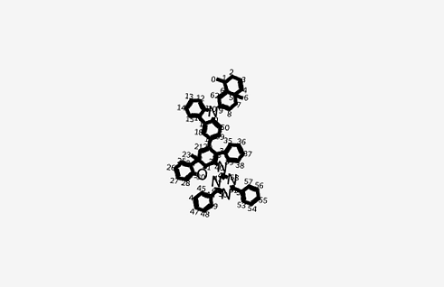 CC1CC=CC2(C)CC=C(n3c4ccccc4c4cc(C5=CC6(C)c7ccccc7OC6c6c5c5ccccc5n6-c5nc(-c6ccccc6)nc(-c6ccccc6)n5)ccc43)C=C12